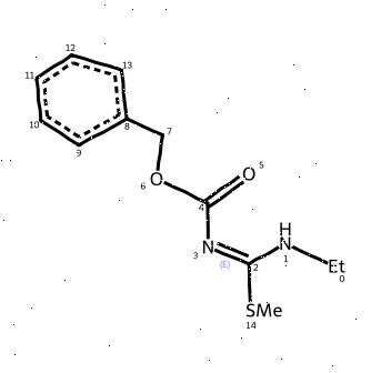 CCN/C(=N\C(=O)OCc1ccccc1)SC